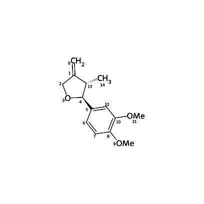 C=C1CO[C@H](c2ccc(OC)c(OC)c2)[C@H]1C